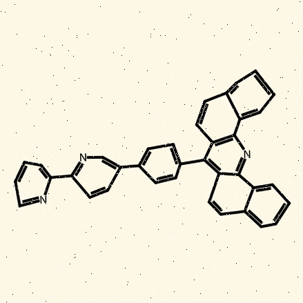 c1ccc(-c2ccc(-c3ccc(-c4c5ccc6ccccc6c5nc5c4ccc4ccccc45)cc3)cn2)nc1